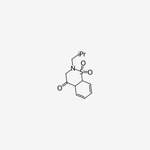 CC(C)CN1CC(=O)C2C=CC=CC2S1(=O)=O